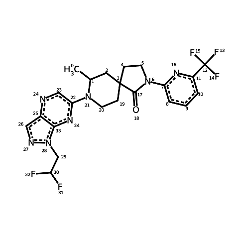 CC1CC2(CCN(c3cccc(C(F)(F)F)n3)C2=O)CCN1c1cnc2cnn(CC(F)F)c2n1